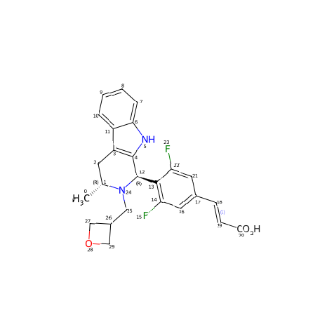 C[C@@H]1Cc2c([nH]c3ccccc23)[C@@H](c2c(F)cc(/C=C/C(=O)O)cc2F)N1CC1COC1